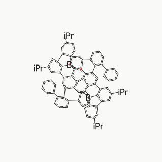 CC(C)c1ccc2c(c1)-c1cc(C(C)C)cc3c1B2c1cc2c(-c4c(-c5ccccc5)cccc4-c4ccccc4)cc4c5c(cc6c(-c7c(-c8ccccc8)cccc7-c7ccccc7)cc-3c1c6c25)B1c2ccc(C(C)C)cc2-c2cc(C(C)C)cc-4c21